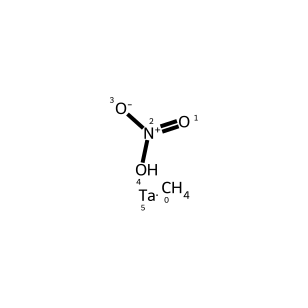 C.O=[N+]([O-])O.[Ta]